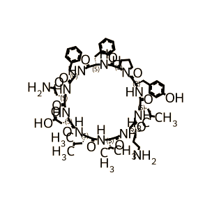 CC(C)C[C@@H]1NC(=O)[C@H](CC(=O)O)NC(=O)[C@H](CC(N)=O)NC(=O)[C@@H](Cc2ccccc2)NC(=O)[C@H](Cc2ccccc2)NC(=O)[C@@H]2CCCN2C(=O)[C@@H](Cc2ccc(O)cc2)NC(=O)[C@H](CC(C)C)NC(=O)[C@H](CCCN)NC(=O)[C@H](C(C)C)NC1=O